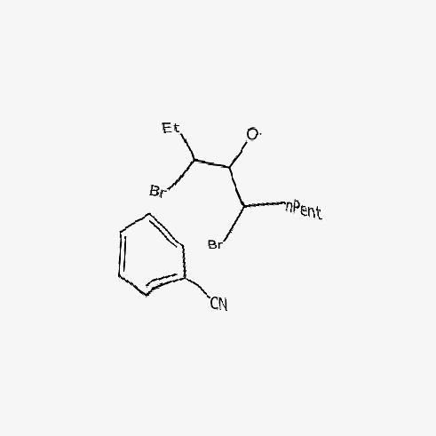 CCCCCC(Br)C([O])C(Br)CC.N#Cc1ccccc1